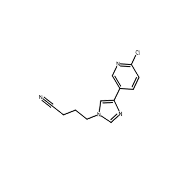 N#CCCCn1cnc(-c2ccc(Cl)nc2)c1